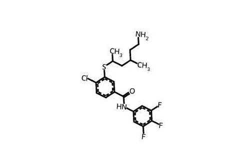 CC(CCN)CC(C)Sc1cc(C(=O)Nc2cc(F)c(F)c(F)c2)ccc1Cl